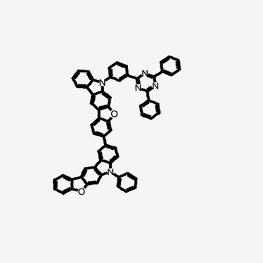 c1ccc(-c2nc(-c3ccccc3)nc(-c3cccc(-n4c5ccccc5c5cc6c(cc54)oc4cc(-c5ccc7c(c5)c5cc8c(cc5n7-c5ccccc5)oc5ccccc58)ccc46)c3)n2)cc1